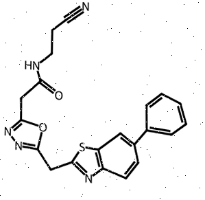 N#CCCNC(=O)Cc1nnc(Cc2nc3ccc(-c4ccccc4)cc3s2)o1